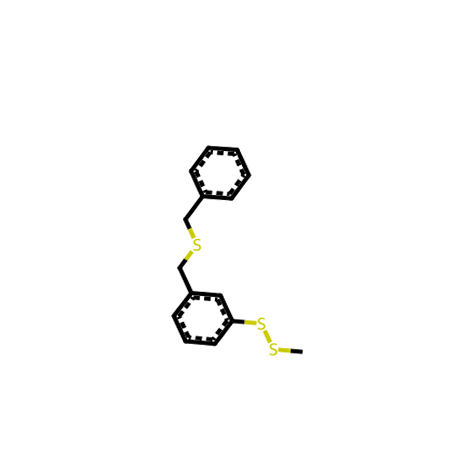 CSSc1cccc(CSCc2ccccc2)c1